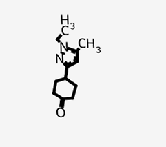 CCn1nc(C2CCC(=O)CC2)cc1C